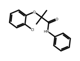 CC(C)(Oc1ccccc1Cl)C(=O)Nc1ccccc1